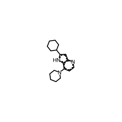 c1cc(N2CCCCC2)c2[nH]c(C3CCCCC3)cc2n1